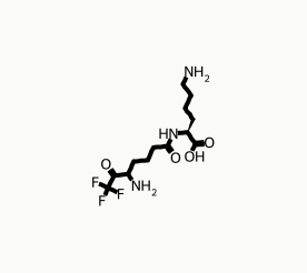 NCCCC[C@H](NC(=O)CCCC(N)C(=O)C(F)(F)F)C(=O)O